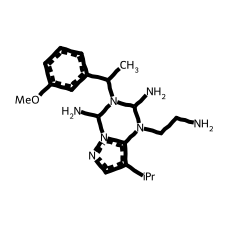 COc1cccc(C(C)N2C(N)N(CCN)c3c(C(C)C)cnn3C2N)c1